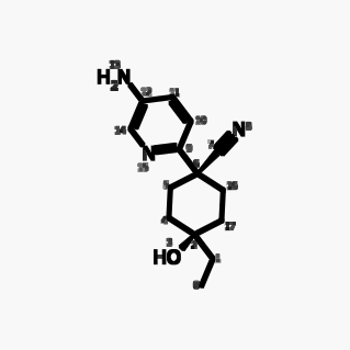 CC[C@]1(O)CC[C@](C#N)(c2ccc(N)cn2)CC1